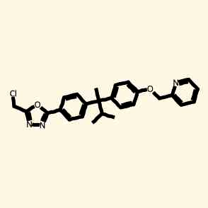 CC(C)C(C)(c1ccc(OCc2ccccn2)cc1)c1ccc(-c2nnc(CCl)o2)cc1